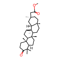 COC(=O)C[C@@]1(C)CC[C@]2(C)CC[C@]3(C)C(=CCC4[C@@]5(C)CCC(=O)C(C)(C)[C@@H]5CC[C@]43C)[C@@H]2C1